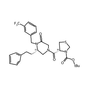 CC(C)(C)OC(=O)N1CSC[C@H]1C(=O)N1CC(=O)N(Cc2cccc(C(F)(F)F)c2)[C@@H](CCc2ccccc2)C1